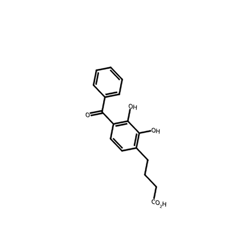 O=C(O)CCCc1ccc(C(=O)c2ccccc2)c(O)c1O